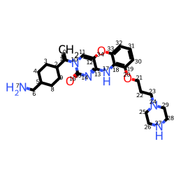 C=C(C1CCC(CN)CC1)n1cc2c(nc1=O)Nc1c(OCCCN3CCNCC3)cccc1O2